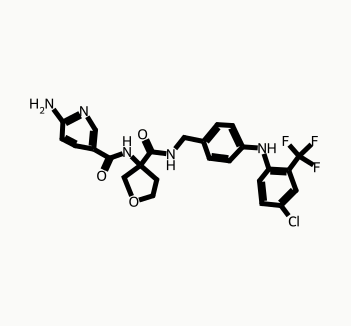 Nc1ccc(C(=O)NC2(C(=O)NCc3ccc(Nc4ccc(Cl)cc4C(F)(F)F)cc3)CCOC2)cn1